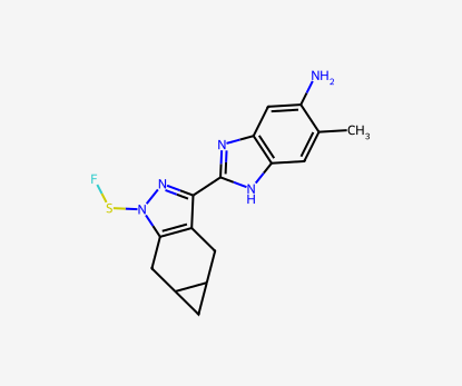 Cc1cc2[nH]c(-c3nn(SF)c4c3CC3CC3C4)nc2cc1N